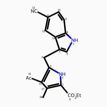 CCOC(=O)c1[nH]c(Cc2c[nH]c3ccc(C#N)cc23)c(C(C)=O)c1C